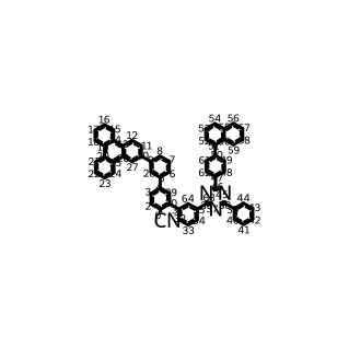 N#Cc1ccc(-c2cccc(-c3ccc4c5ccccc5c5ccccc5c4c3)c2)cc1-c1cccc(-c2nc(-c3ccccc3)nc(-c3ccc(-c4cccc5ccccc45)cc3)n2)c1